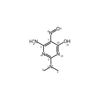 CN(C)c1nc(N)c(N=O)c(O)n1